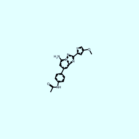 COc1csc(-c2nc3cc(-c4ccc(NC(C)=O)cc4)cc(N)n3n2)c1